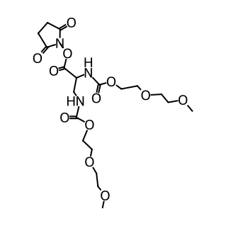 COCCOCCOC(=O)NCC(NC(=O)OCCOCCOC)C(=O)ON1C(=O)CCC1=O